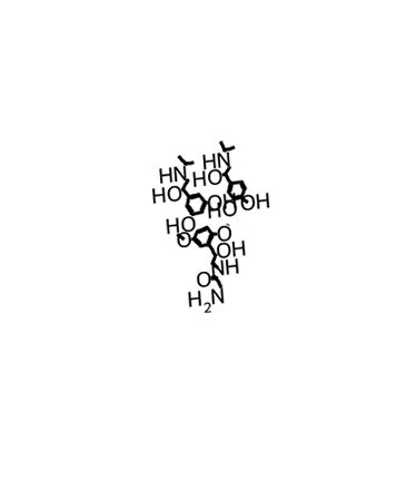 CC(C)NCC(O)c1cc(O)cc(O)c1.CC(C)NCC(O)c1ccc(O)c(O)c1.COc1ccc(OC)c(C(O)CNC(=O)CN)c1